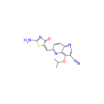 CC(C)Oc1c(C#N)cnc2ccc(/C=C3/SC(N)=NC3=O)nc12